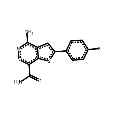 NC(=O)c1nnc(N)c2cc(-c3ccc(F)cc3)sc12